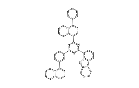 c1ccc(-c2ccc(-c3nc(-c4cccc(-c5cccc6ccccc56)c4)nc(-c4cccc5c4sc4ccccc45)n3)c3ccccc23)cc1